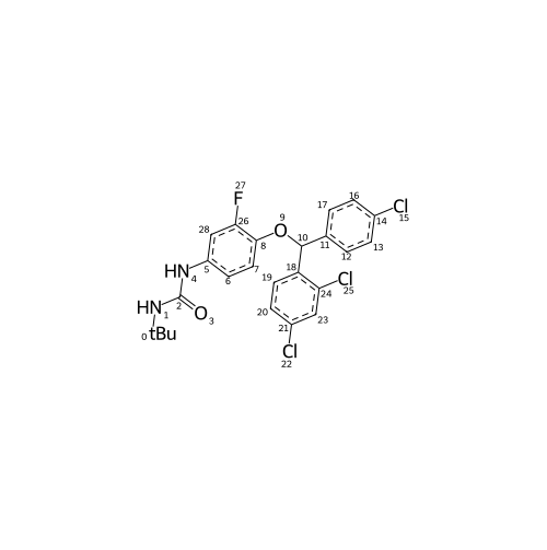 CC(C)(C)NC(=O)Nc1ccc(OC(c2ccc(Cl)cc2)c2ccc(Cl)cc2Cl)c(F)c1